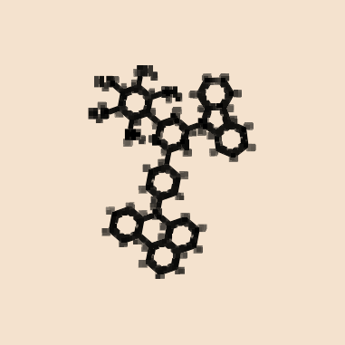 Bc1c(B)c(B)c(-c2nc(-c3ccc(N4c5ccccc5-c5cccc6cccc4c56)cc3)nc(-n3c4ccccc4c4ccccc43)n2)c(B)c1B